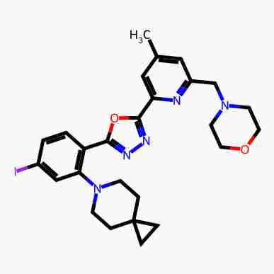 Cc1cc(CN2CCOCC2)nc(-c2nnc(-c3ccc(I)cc3N3CCC4(CC3)CC4)o2)c1